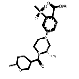 COC(=O)c1ccc(N2CCN(C(=O)C3CCC(C)OC3)[C@@H](C(C)C)C2)cc1S(C)(=O)=O